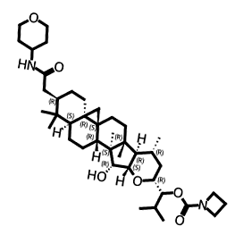 CC(C)C(OC(=O)N1CCC1)[C@H]1C[C@@H](C)[C@H]2[C@H](O1)[C@H](O)[C@@]1(C)[C@@H]3CC[C@H]4C(C)(C)[C@@H](CC(=O)NC5CCOCC5)CC[C@@]45C[C@@]35CC[C@]21C